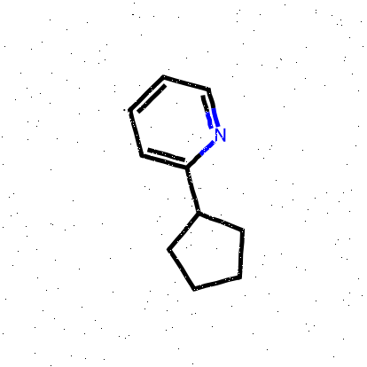 [c]1ccnc(C2CCCC2)c1